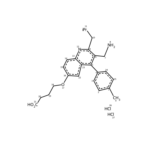 Cc1ccc(-c2c(CN)c(CC(C)C)nc3ccc(OCCCC(=O)O)cc23)cc1.Cl.Cl